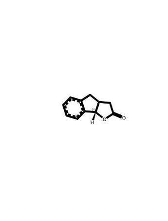 O=C1CC2Cc3ccccc3[C@H]2O1